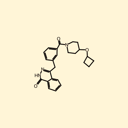 O=C(c1cccc(Cc2n[nH]c(=O)c3ccccc23)c1)N1CCC(OC2CCC2)CC1